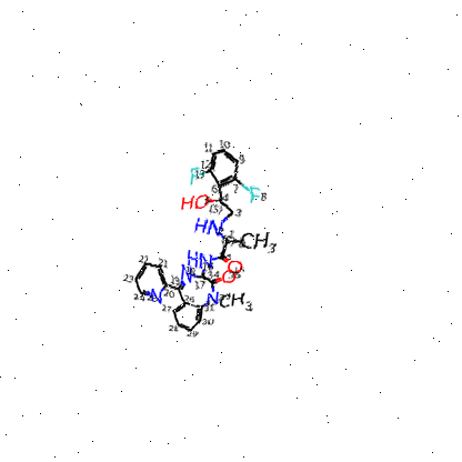 C[C@H](NC[C@@H](O)c1c(F)cccc1F)C(=O)NC1N=C(c2ccccn2)c2ccccc2N(C)C1=O